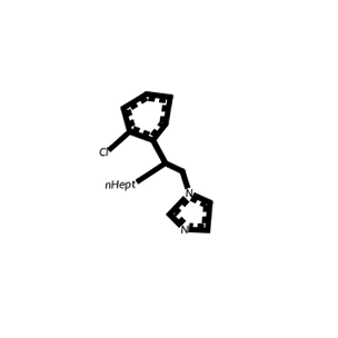 CCCCCCCC(Cn1ccnc1)c1ccccc1Cl